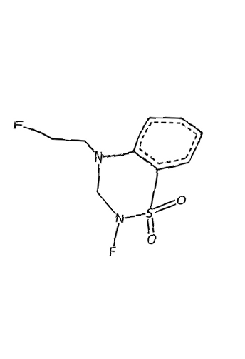 O=S1(=O)c2ccccc2N(CCF)CN1F